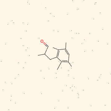 Cc1cc(C)c(C)c(CC(C)C=O)c1C